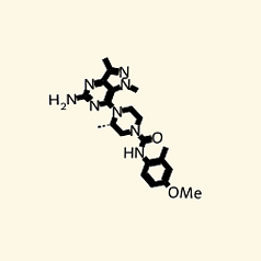 COc1ccc(NC(=O)N2CCN(c3nc(N)nc4c(C)nn(C)c34)[C@@H](C)C2)c(C)c1